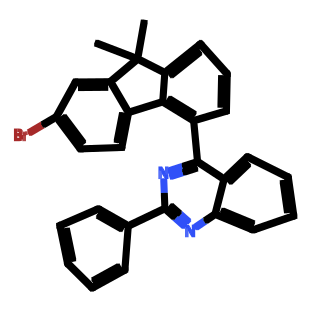 CC1(C)c2cc(Br)ccc2-c2c(-c3nc(-c4ccccc4)nc4ccccc34)cccc21